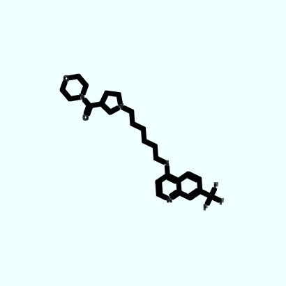 O=C(C1CCN(CCCCCCSc2ccnc3cc(C(F)(F)F)ccc23)C1)N1CCOCC1